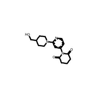 O=C1CCCC(=O)N1c1ccnc(N2CCC(CO)CC2)c1